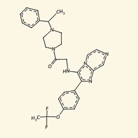 CC(c1ccccc1)N1CCN(C(=O)CNc2c(-c3ccc(OC(C)(F)F)cc3)nc3cnccn23)CC1